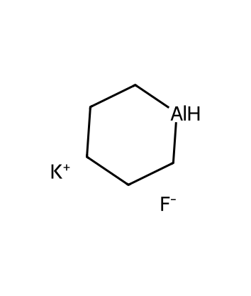 C1C[CH2][AlH][CH2]C1.[F-].[K+]